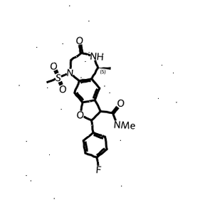 CNC(=O)C1c2cc3c(cc2OC1c1ccc(F)cc1)N(S(C)(=O)=O)CC(=O)N[C@H]3C